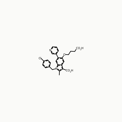 Cc1c(C(=O)O)c2cc(OCCCC(=O)O)c(-c3cccnc3)cc2n1Cc1ccc(Cl)cc1